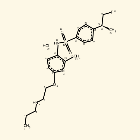 CCCNCCOc1ccc(NS(=O)(=O)c2ccc([C@H](C)CF)cc2)c(C)n1.Cl